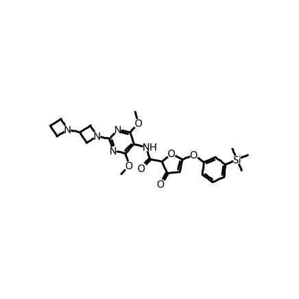 COc1nc(N2CC(N3CCC3)C2)nc(OC)c1NC(=O)C1OC(Oc2cccc([Si](C)(C)C)c2)=CC1=O